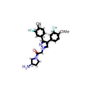 COc1ccc(-c2cn(CC(=O)N3CC[C@@H](N)C3)nc2-c2ccc(C#N)c(F)c2)cc1F